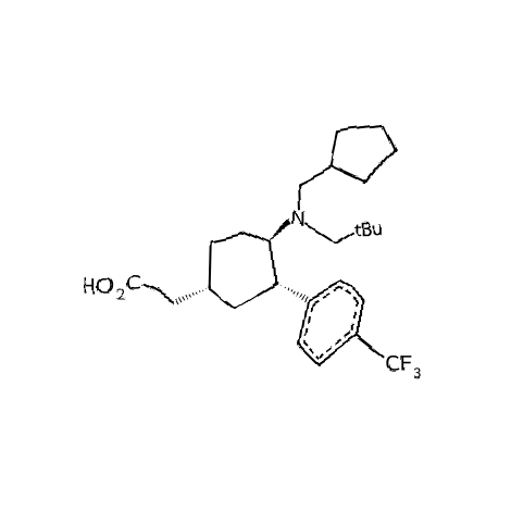 CC(C)(C)CN(CC1CCCC1)[C@@H]1CC[C@@H](CC(=O)O)C[C@H]1c1ccc(C(F)(F)F)cc1